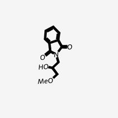 COCC(O)CN1C(=O)c2ccccc2C1=O